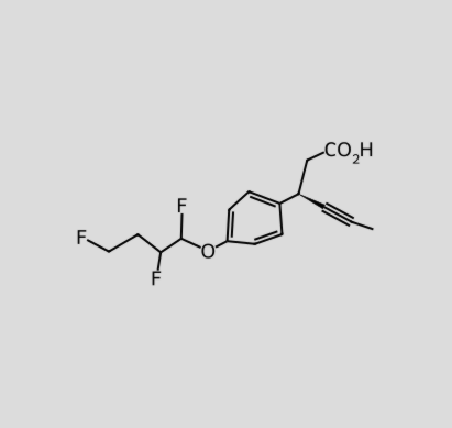 CC#C[C@H](CC(=O)O)c1ccc(OC(F)C(F)CCF)cc1